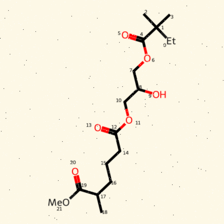 CCC(C)(C)C(=O)OCC(O)COC(=O)CCCC(C)C(=O)OC